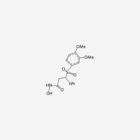 CCCC(CC(=O)NO)S(=O)(=O)c1ccc(OC)c(OC)c1